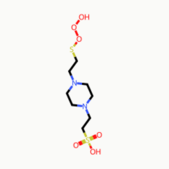 O=S(=O)(O)CCN1CCN(CCSOOO)CC1